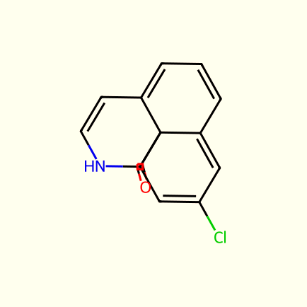 O=C1NC=CC2=CC=CC3=CC(Cl)=CCC123